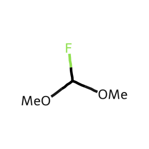 COC(F)OC